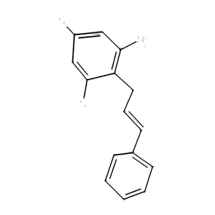 O=[N+]([O-])c1cc([N+](=O)[O-])c(C/C=C/c2[c]cccc2)c([N+](=O)[O-])c1